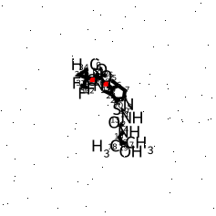 COC(=O)N1CC2Cc3nc(NC(=O)NCC(C)(C)O)sc3C(C1)C2c1nc(C2(C(F)(F)F)CC2)no1